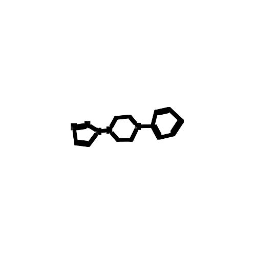 c1ccc(N2CCN(n3ccnn3)CC2)cc1